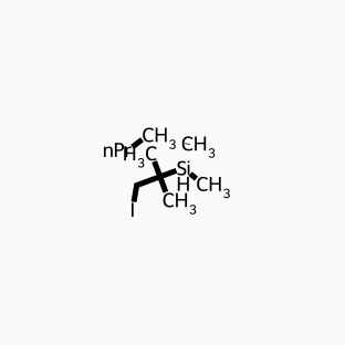 CCCC.C[SiH](C)C(C)(C)CI